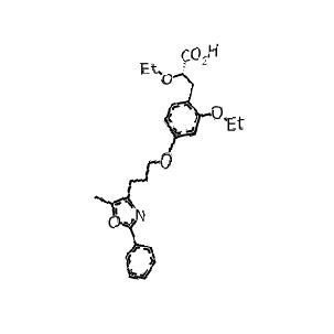 CCOc1cc(OCCCc2nc(-c3ccccc3)oc2C)ccc1C[C@H](OCC)C(=O)O